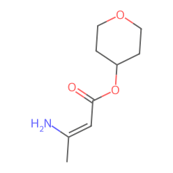 CC(N)=CC(=O)OC1CCOCC1